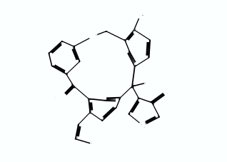 C=C1C=NC=C1C1(O)c2ccc(Br)c(c2)COc2cccc(c2)C(=C)c2cc1ccc2/C=C\C